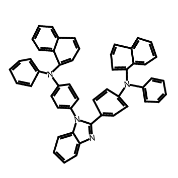 c1ccc(N(c2ccc(-c3nc4ccccc4n3-c3ccc(N(c4ccccc4)c4cccc5ccccc45)cc3)cc2)c2cccc3ccccc23)cc1